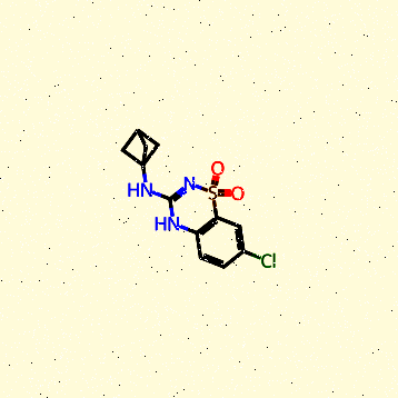 O=S1(=O)N=C(NC23CC(C2)C3)Nc2ccc(Cl)cc21